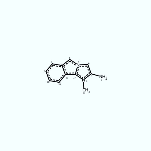 Cn1c(N)cn2cc3ccccc3c12